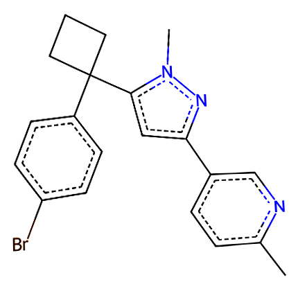 Cc1ccc(-c2cc(C3(c4ccc(Br)cc4)CCC3)n(C)n2)cn1